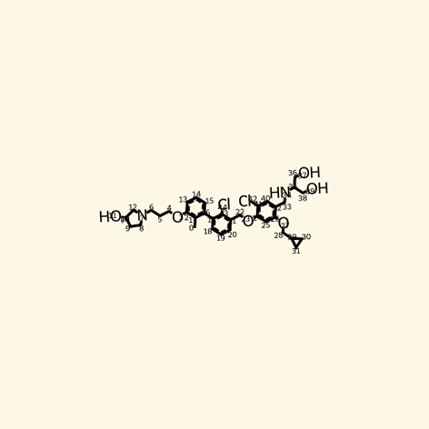 Cc1c(OCCCN2CC[C@@H](O)C2)cccc1-c1cccc(COc2cc(OCC3CC3)c(CNC(CO)CO)cc2Cl)c1Cl